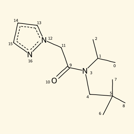 CC(C)N(CC(C)(C)C)C(=O)Cn1cccn1